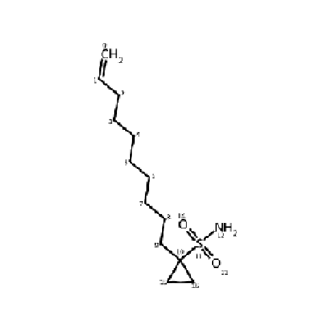 C=CCCCCCCCCC1(S(N)(=O)=O)CC1